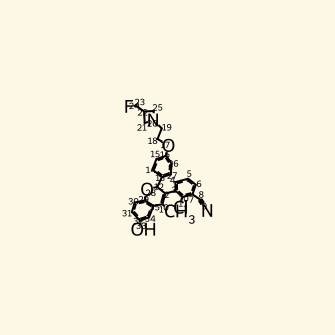 CC1=C(c2cccc(C#N)c2Cl)C(c2ccc(OCCN3CC(CF)C3)cc2)Oc2ccc(O)cc21